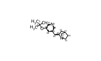 CC(C)(C)Oc1cncc(C=C2CC3CCN2C3)c1